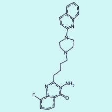 Nn1c(CCCCN2CCN(c3ccc4ccccc4n3)CC2)nc2c(F)cccc2c1=O